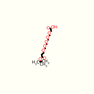 CC(C)(C)OC(=O)CCOCOCOCOCOCC(=O)O